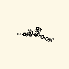 C#CC1(O)CCN(C2CCN(c3nc(C(CO)(OC4CC4)c4ccccc4)c4cc(-c5cn(C)c(=O)c6c5ccn6S(=O)(=O)c5ccc(C)cc5)ccc4n3)CC2)CC1